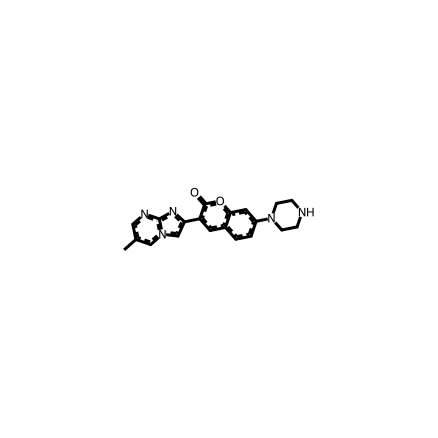 Cc1cnc2nc(-c3cc4ccc(N5CCNCC5)cc4oc3=O)cn2c1